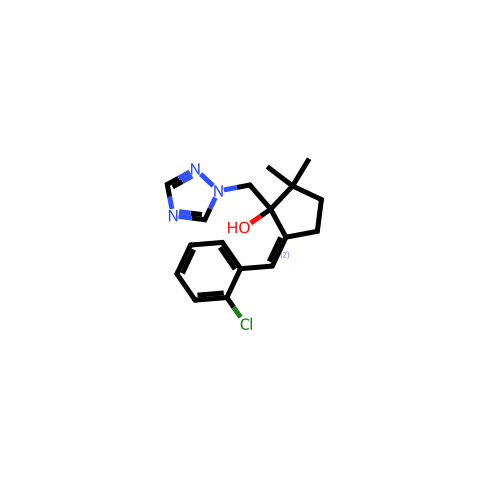 CC1(C)CC/C(=C/c2ccccc2Cl)C1(O)Cn1cncn1